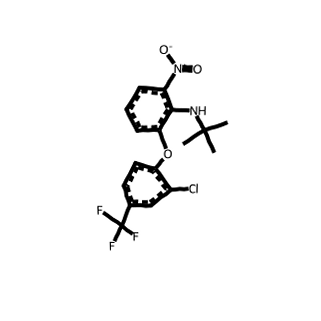 CC(C)(C)Nc1c(Oc2ccc(C(F)(F)F)cc2Cl)cccc1[N+](=O)[O-]